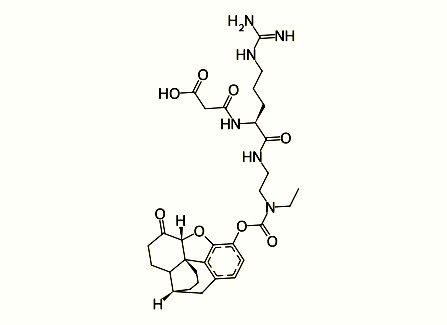 CCN(CCNC(=O)[C@H](CCCNC(=N)N)NC(=O)CC(=O)O)C(=O)Oc1ccc2c3c1O[C@H]1C(=O)CCC4[C@H](CCC[C@@]341)C2